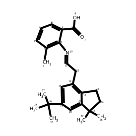 Cc1cccc(C(=O)O)c1N=CCc1cc(C(C)(C)C)cc2c1CCC2(C)C